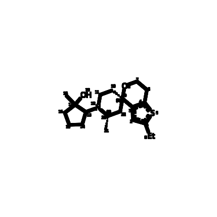 CCc1cc2c(s1)CCO[C@@]21CCN(C2CCCC2(C)O)[C@@H](C)C1